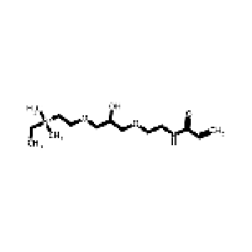 C=CC(=O)NCCOCC(O)COCC[N+](C)(C)CC